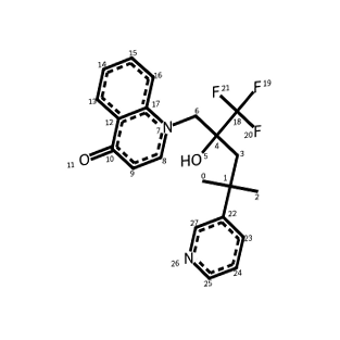 CC(C)(CC(O)(Cn1ccc(=O)c2ccccc21)C(F)(F)F)c1cccnc1